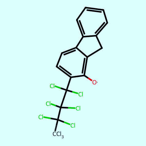 [O]c1c(C(Cl)(Cl)C(Cl)(Cl)C(Cl)(Cl)C(Cl)(Cl)Cl)ccc2c1Cc1ccccc1-2